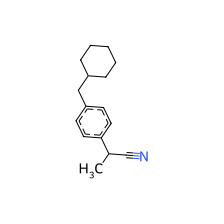 CC(C#N)c1ccc(CC2CCCCC2)cc1